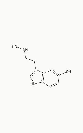 ONCCc1c[nH]c2ccc(O)cc12